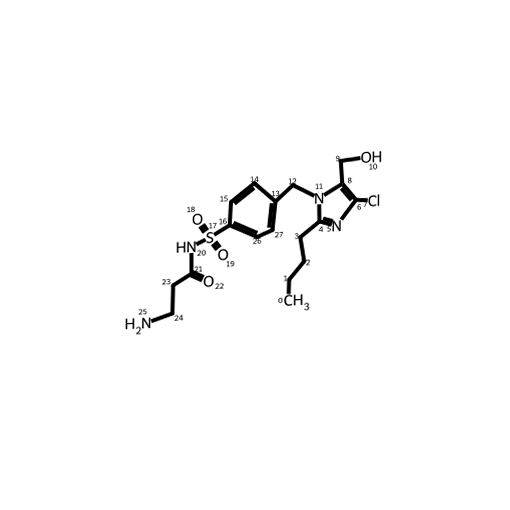 CCCCc1nc(Cl)c(CO)n1Cc1ccc(S(=O)(=O)NC(=O)CCN)cc1